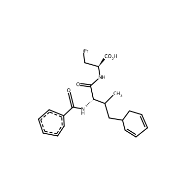 CC(C)C[C@H](NC(=O)[C@@H](NC(=O)c1ccccc1)C(C)CC1C=CC=CC1)C(=O)O